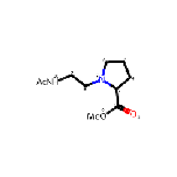 COC(=O)C1CCCN1CCNC(C)=O